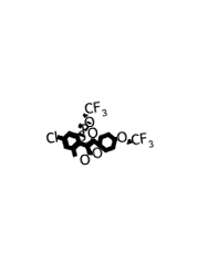 Cc1cc(Cl)ccc1C1=C(OP(C)(=S)OCC(F)(F)F)C2(CCC(OCC(F)(F)F)CC2)OC1=O